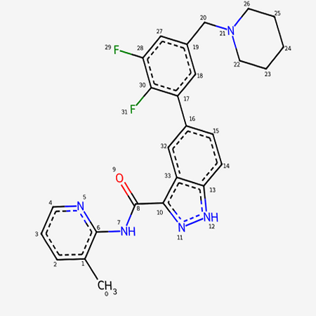 Cc1cccnc1NC(=O)c1n[nH]c2ccc(-c3cc(CN4CCCCC4)cc(F)c3F)cc12